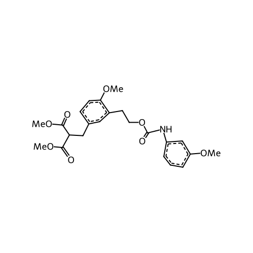 COC(=O)C(Cc1ccc(OC)c(CCOC(=O)Nc2cccc(OC)c2)c1)C(=O)OC